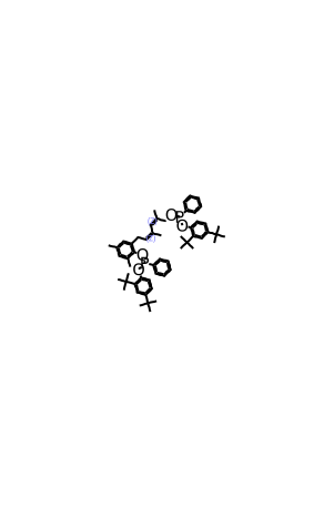 CC(=C/Cc1cc(C)cc(C)c1OP(Oc1ccc(C(C)(C)C)cc1C(C)(C)C)c1ccccc1)/C=C(/C)COP(Oc1ccc(C(C)(C)C)cc1C(C)(C)C)c1ccccc1